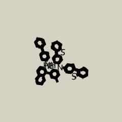 Cc1cc(-c2c(Nc3ccc(-c4ccccc4)cc3)ccc3ccccc23)c2c(c1)N(c1ccc3c(c1)sc1ccccc13)c1cc3sc4ccccc4c3cc1B2